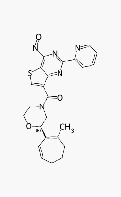 CC1=C([C@@H]2CN(C(=O)c3csc4c(N=O)nc(-c5ccccn5)nc34)CCO2)C=CCCC1